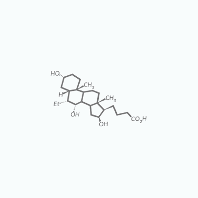 CC[C@H]1[C@@H](O)C2C3C[C@H](O)[C@H](CCCC(=O)O)[C@@]3(C)CCC2[C@@]2(C)CC[C@@H](O)C[C@@H]12